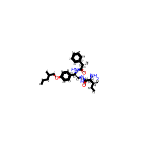 CCCC(C)COc1ccc([C@H](CNC(=O)[C@@H](N)[C@@H](C)CC)NC(=O)[C@@H](C)c2ccccc2)cc1